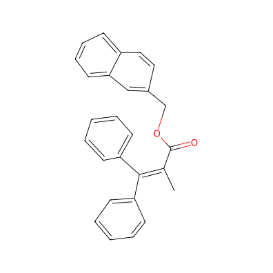 CC(C(=O)OCc1ccc2ccccc2c1)=C(c1ccccc1)c1ccccc1